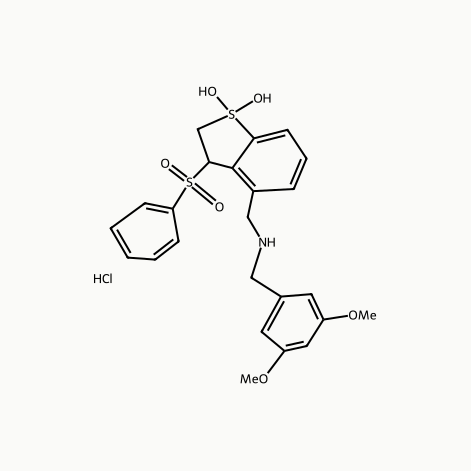 COc1cc(CNCc2cccc3c2C(S(=O)(=O)c2ccccc2)CS3(O)O)cc(OC)c1.Cl